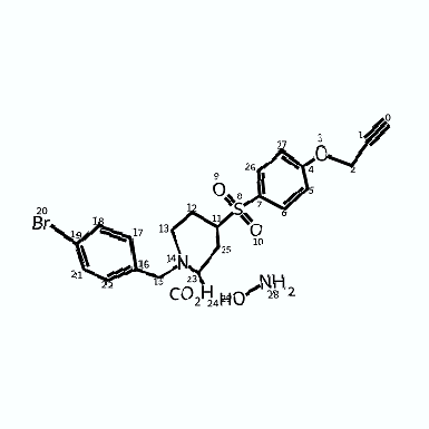 C#CCOc1ccc(S(=O)(=O)C2CCN(Cc3ccc(Br)cc3)C(C(=O)O)C2)cc1.NO